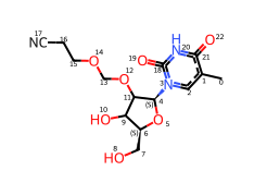 Cc1cn([C@H]2O[C@@H](CO)C(O)C2OCOCCC#N)c(=O)[nH]c1=O